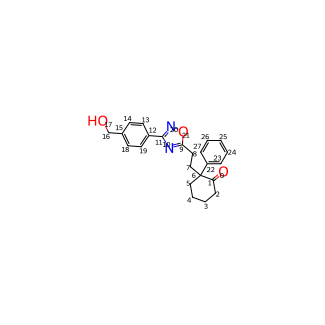 O=C1CCCCC1(CCc1nc(-c2ccc(CO)cc2)no1)c1ccccc1